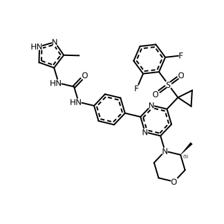 Cc1n[nH]cc1NC(=O)Nc1ccc(-c2nc(N3CCOC[C@@H]3C)cc(C3(S(=O)(=O)c4c(F)cccc4F)CC3)n2)cc1